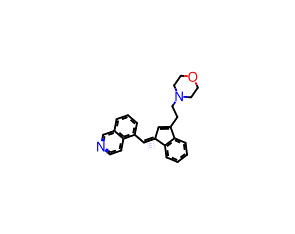 C1=C(CCN2CCOCC2)c2ccccc2/C1=C/c1cccc2cnccc12